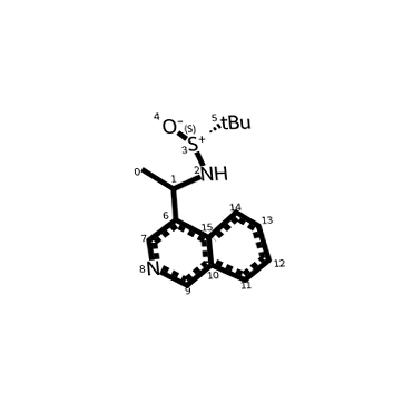 CC(N[S@+]([O-])C(C)(C)C)c1cncc2ccccc12